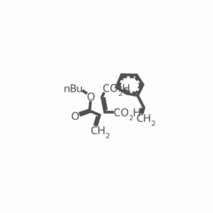 C=CC(=O)OCCCC.C=Cc1ccccc1.O=C(O)/C=C\C(=O)O